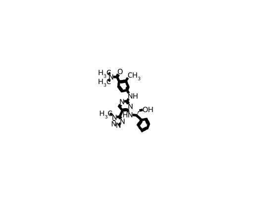 Cc1cc(Nc2ncc(-c3nnnn3C)c(N[C@H](CO)c3ccccc3)n2)ccc1C(=O)N(C)C